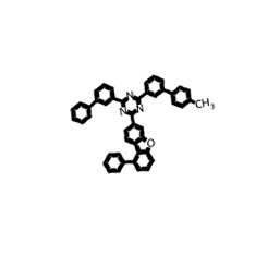 Cc1ccc(-c2cccc(-c3nc(-c4cccc(-c5ccccc5)c4)nc(-c4ccc5c(c4)oc4cccc(-c6ccccc6)c45)n3)c2)cc1